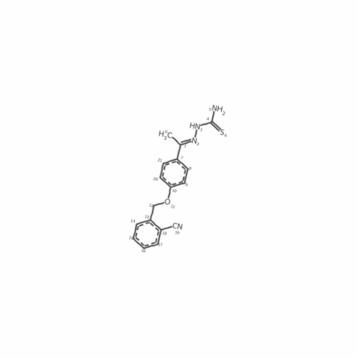 C/C(=N\NC(N)=S)c1ccc(OCc2ccccc2C#N)cc1